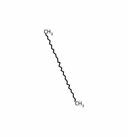 CCCCCCCCCCCCCCCCCCCCCCCCCCCCCCCCC